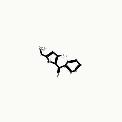 Cc1cc(CC(=O)O)[nH]c1C(=O)c1ccccc1